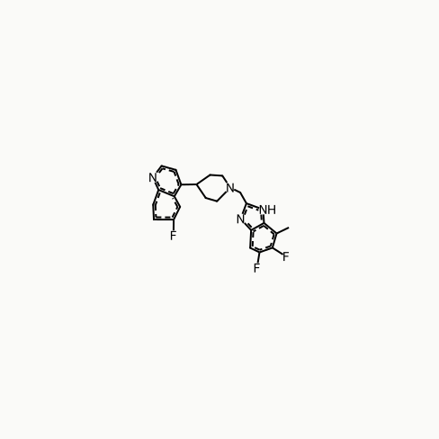 Cc1c(F)c(F)cc2nc(CN3CCC(c4ccnc5ccc(F)cc45)CC3)[nH]c12